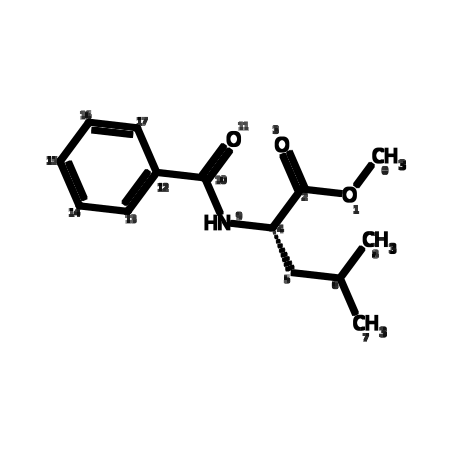 COC(=O)[C@H](CC(C)C)NC(=O)c1ccccc1